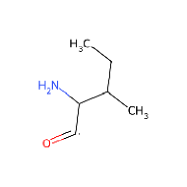 CCC(C)C(N)[C]=O